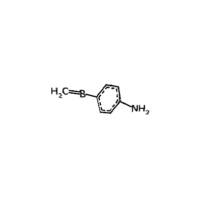 C=Bc1ccc(N)cc1